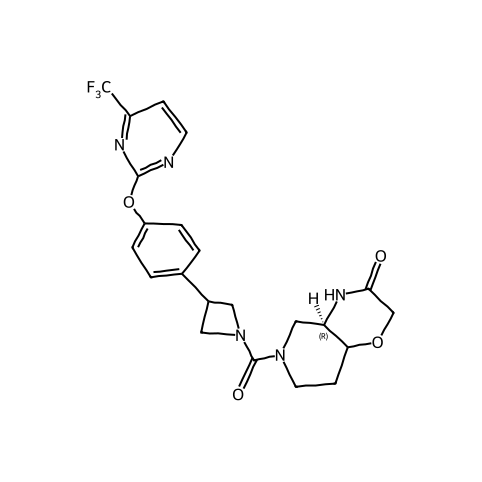 O=C1COC2CCN(C(=O)N3CC(c4ccc(Oc5nccc(C(F)(F)F)n5)cc4)C3)C[C@H]2N1